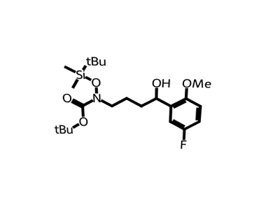 COc1ccc(F)cc1C(O)CCCN(O[Si](C)(C)C(C)(C)C)C(=O)OC(C)(C)C